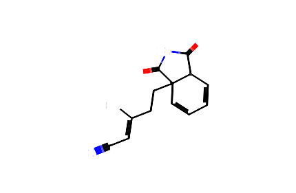 C/C(=C\C#N)CCC12C=CC=CC1C(=O)NC2=O